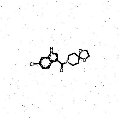 O=C(c1c[nH]c2cc(Cl)ccc12)N1CCC2(CC1)OCCO2